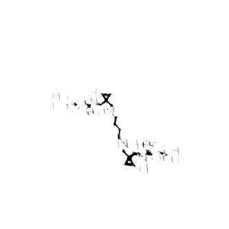 CC(C)(C)OC(=O)NCC1(CNCCCCNCC2(CNC(=O)OC(C)(C)C)CC2)CC1